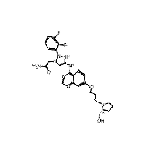 NC(=O)CN1C=C(Nc2ncnc3cc(OCCCN4CCC[C@@H]4CO)ccc23)NN1c1cccc(F)c1F